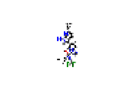 CN(CC(F)F)C(=O)c1cnc2ccc(-c3c[nH]c4nc(C5CC5)ccc34)cn12